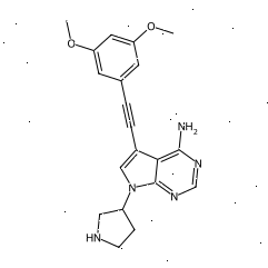 COc1cc(C#Cc2cn(C3CCNC3)c3ncnc(N)c23)cc(OC)c1